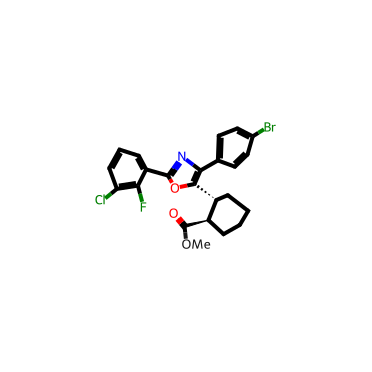 COC(=O)[C@@H]1CCCC[C@H]1c1oc(-c2cccc(Cl)c2F)nc1-c1ccc(Br)cc1